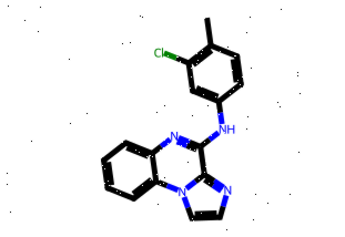 Cc1ccc(Nc2nc3ccccc3n3ccnc23)cc1Cl